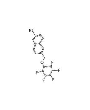 CCc1ccc2cc(COc3c(F)c(F)c(F)c(F)c3F)ccc2c1